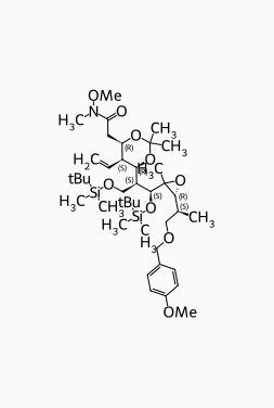 C=C[C@@H]1[C@H]([C@H](CO[Si](C)(C)C(C)(C)C)[C@H](O[Si](C)(C)C(C)(C)C)C2(C)O[C@@H]2[C@@H](C)COCc2ccc(OC)cc2)OC(C)(C)O[C@@H]1CC(=O)N(C)OC